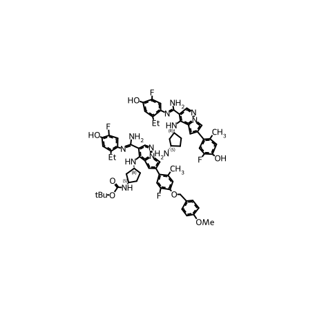 CCc1cc(O)c(F)cc1N=C(N)c1cnn2cc(-c3cc(F)c(O)cc3C)cc2c1N[C@@H]1CC[C@H](N)C1.CCc1cc(O)c(F)cc1N=C(N)c1cnn2cc(-c3cc(F)c(OCc4ccc(OC)cc4)cc3C)cc2c1N[C@@H]1CC[C@H](NC(=O)OC(C)(C)C)C1